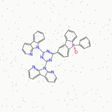 O=P1(c2ccccc2)c2ccccc2-c2cc(-c3nc(-n4c5ccccc5c5cccnc54)nc(-n4c5ncccc5c5cccnc54)n3)ccc21